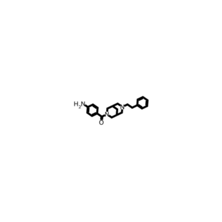 Nc1ccc(C(=O)N2CC3CC(CN(CCc4ccccc4)C3)C2)cc1